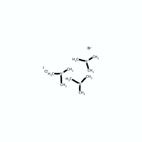 C[S+](C)C.C[S+](C)C.C[S+](C)C.[Br-].[Cl-].[I-]